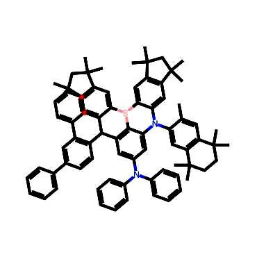 Cc1cc2c(cc1N1c3cc4c(cc3B3c5cc6c(cc5C(c5ccc(-c7ccccc7)cc5-c5ccccc5)c5cc(N(c7ccccc7)c7ccccc7)cc1c53)C(C)(C)CC6(C)C)C(C)(C)CC4(C)C)C(C)(C)CCC2(C)C